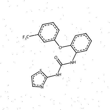 O=C(Nc1nccs1)Nc1ccccc1Oc1cccc(C(F)(F)F)c1